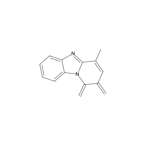 C=c1cc(C)c2nc3ccccc3n2c1=C